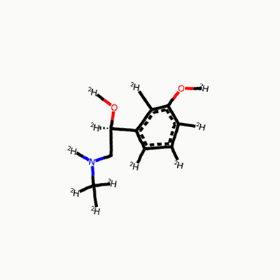 [2H]Oc1c([2H])c([2H])c([2H])c([C@@]([2H])(CN([2H])C([2H])([2H])[2H])O[2H])c1[2H]